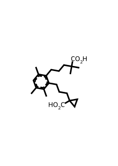 Cc1cc(C)c(CCCC(C)(C)C(=O)O)c(CCCC2(C(=O)O)CC2)c1C